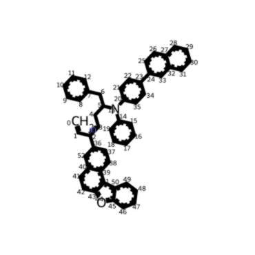 C=C/C(=C\CC(Cc1ccccc1)N(c1ccccc1)c1ccc(-c2ccc3ccccc3c2)cc1)c1ccc2c(ccc3oc4ccccc4c32)c1